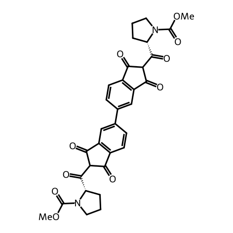 COC(=O)N1CCC[C@H]1C(=O)C1C(=O)c2ccc(-c3ccc4c(c3)C(=O)C(C(=O)[C@@H]3CCCN3C(=O)OC)C4=O)cc2C1=O